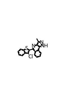 Cc1n[nH]c2c1nc(-c1sc3ccccc3c1Cl)c1ccccc12